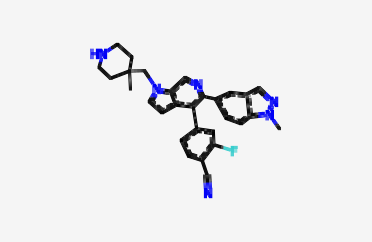 Cn1ncc2cc(-c3ncc4c(ccn4CC4(C)CCNCC4)c3-c3ccc(C#N)c(F)c3)ccc21